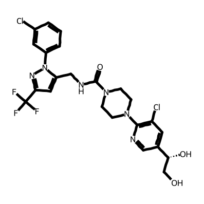 O=C(NCc1cc(C(F)(F)F)nn1-c1cccc(Cl)c1)N1CCN(c2ncc([C@H](O)CO)cc2Cl)CC1